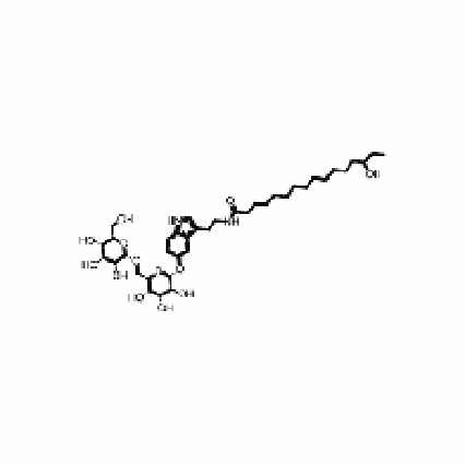 CCC(O)CCCCCCCCCCCCC(=O)NCCc1c[nH]c2ccc(O[C@H]3O[C@H](CO[C@H]4O[C@H](CO)[C@@H](O)[C@@H](O)[C@@H]4O)[C@@H](O)[C@@H](O)[C@@H]3O)cc12